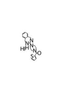 I.O=C(c1cccs1)N1CCN(C2=NCc3ccccc3CN2)CC1